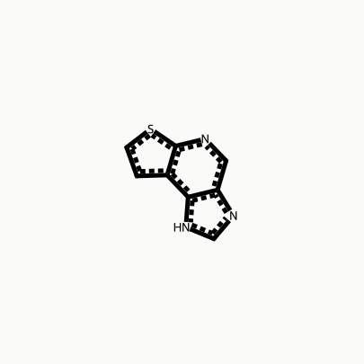 c1nc2cnc3sccc3c2[nH]1